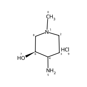 CN1CCC(N)[C@@H](O)C1.Cl